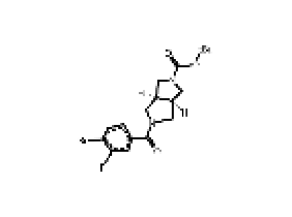 CC(C)(C)OC(=O)N1C[C@@H]2CN(C(=O)c3ccc(Br)c(F)c3)C[C@@H]2C1